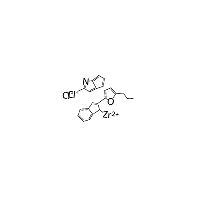 CC1=NC2=CC=CC2=C1.CCCc1ccc(C2=Cc3ccccc3[CH]2[Zr+2])o1.[Cl-].[Cl-]